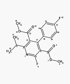 COC(=O)c1c(F)nc(C(C)C)c(C(=O)OC)c1-c1ccc(F)cc1